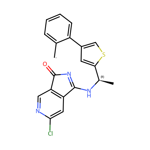 [CH2]c1ccccc1-c1csc([C@@H](C)NC2=NC(=O)c3cnc(Cl)cc32)c1